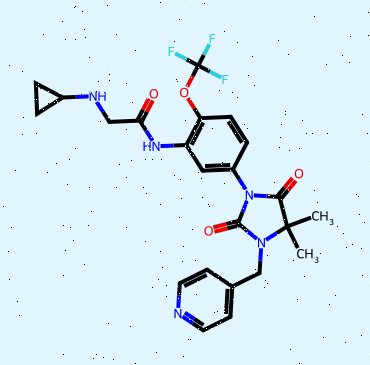 CC1(C)C(=O)N(c2ccc(OC(F)(F)F)c(NC(=O)CNC3CC3)c2)C(=O)N1Cc1ccncc1